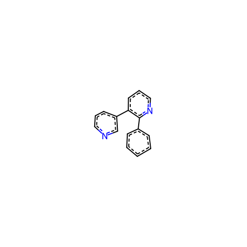 c1ccc(-c2ncccc2-c2cccnc2)cc1